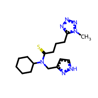 Cn1nnnc1CCCC(=S)N(Cc1cc[nH]n1)C1CCCCC1